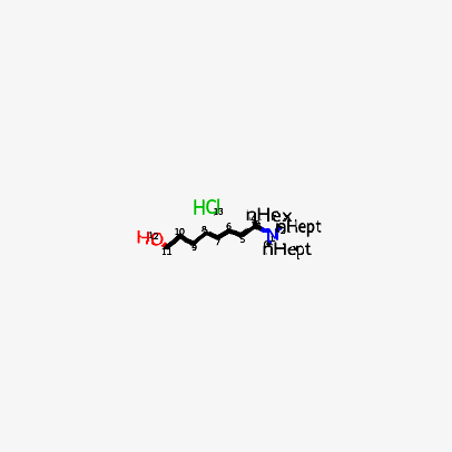 CCCCCCCN(CCCCCCC)C(CCCCCC)CCCCCCCO.Cl